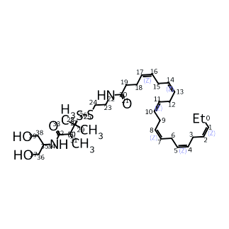 CC/C=C\C/C=C\C/C=C\C/C=C\C/C=C\C/C=C\CCC(=O)NCCSSC(C)(C)[C@@H](C)C(=O)NC(CO)CO